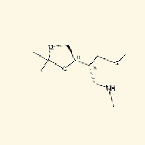 CNC[C@@H](CSC)[C@@H]1COC(C)(C)O1